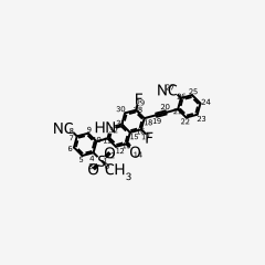 CS(=O)(=O)c1ccc(C#N)cc1-c1cc(=O)c2c(F)c(C#Cc3ccccc3C#N)c(F)cc2[nH]1